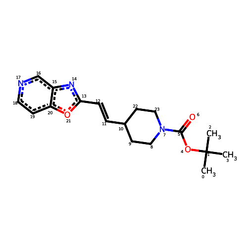 CC(C)(C)OC(=O)N1CCC(/C=C/c2nc3cnccc3o2)CC1